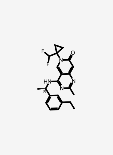 CCc1cccc([C@@H](C)Nc2nc(C)nc3cc(=O)n(C4(C(F)F)CC4)cc23)c1